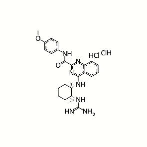 COc1ccc(NC(=O)c2nc(N[C@H]3CCCC[C@H]3NC(=N)N)c3ccccc3n2)cc1.Cl.Cl